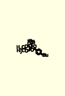 CCC(C)c1ccc(C(=O)OC2(CC(=O)OC(C)(C)C)COC(C)(C)OC2)cc1